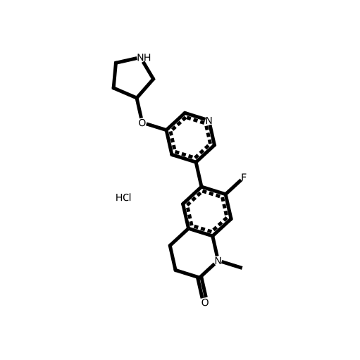 CN1C(=O)CCc2cc(-c3cncc(OC4CCNC4)c3)c(F)cc21.Cl